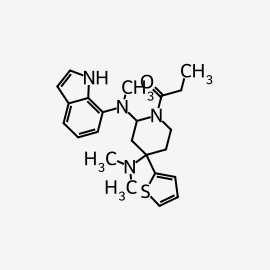 CCC(=O)N1CCC(c2cccs2)(N(C)C)CC1N(C)c1cccc2cc[nH]c12